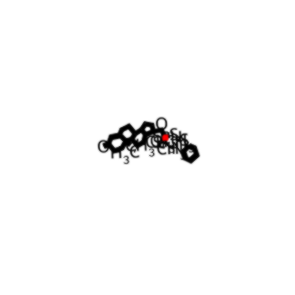 C[C@H]1CC2(C)C(CC[C@]2(O[Si](C)(C)C)C(=O)CSc2nc3ccccc3s2)C2CCC3=CC(=O)CCC3(C)C21